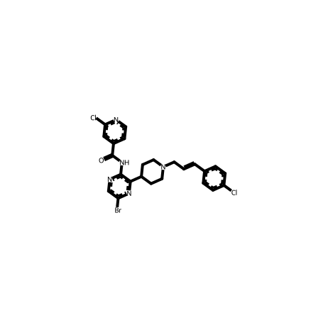 O=C(Nc1ncc(Br)nc1C1CCN(C/C=C/c2ccc(Cl)cc2)CC1)c1ccnc(Cl)c1